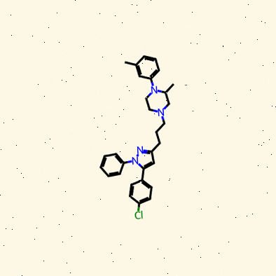 Cc1cccc(N2CCN(CCCc3cc(-c4ccc(Cl)cc4)n(-c4ccccc4)n3)CC2C)c1